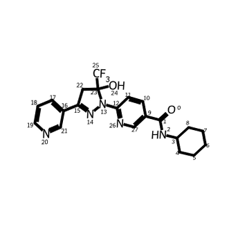 O=C(NC1CCCCC1)c1ccc(N2N=C(c3cccnc3)CC2(O)C(F)(F)F)nc1